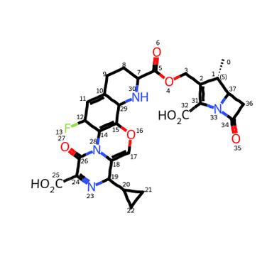 C[C@H]1C(COC(=O)C2CCC3=CC(F)C4=C(OC=C5C(C6CC6)N=C(C(=O)O)C(=O)N54)C3N2)=C(C(=O)O)N2C(=O)CC12